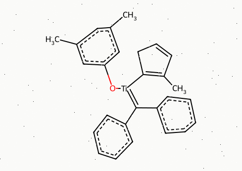 CC1=[C]([Ti]([O]c2cc(C)cc(C)c2)=[C](c2ccccc2)c2ccccc2)CC=C1